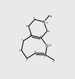 C/C1=C\CCCC2=C(CN(C)CC2)O1